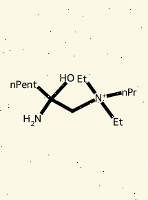 CCCCCC(N)(O)C[N+](CC)(CC)CCC